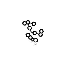 C1=Cc2c(oc3cc4cccc(N(C5=CCC(c6c(-c7ccccc7)ccc7ccccc67)C=C5)c5ccc(-c6cccc7ccccc67)cc5)c4cc23)NC1